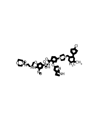 CC1(C)CCC(CN2CCN(c3ccc(C(=O)NS(=O)(=O)c4cc(N=O)c5c(c4)OC[C@H](CCN=S4(=O)CCOCC4)N5)c(Oc4cnc5[nH]ccc5c4)c3)CC2)=C(c2ccc(Cl)cc2)C1